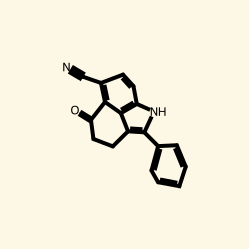 N#Cc1ccc2[nH]c(-c3ccccc3)c3c2c1C(=O)CC3